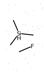 CF.C[SiH](C)C